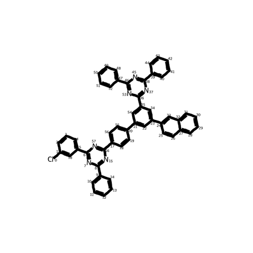 Clc1cccc(-c2nc(-c3ccccc3)nc(-c3ccc(-c4cc(-c5ccc6ccccc6c5)cc(-c5nc(-c6ccccc6)nc(-c6ccccc6)n5)c4)cc3)n2)c1